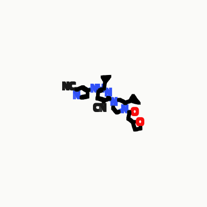 N#Cc1cc(Nc2cc(C#N)c(N3CCN(C(=O)CC4CCO4)C(C4CC4)C3)nc2C2CC2)ccn1